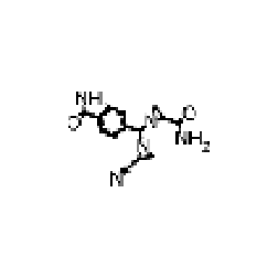 N#CC1CN1C(c1ccc(C(N)=O)cc1)N1CC1C(N)=O